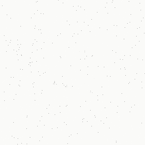 Cc1n[nH]c2c(S(N)(=O)=O)cc(O)cc12